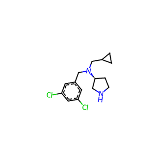 Clc1cc(Cl)cc(CN(CC2CC2)[C@H]2CCNC2)c1